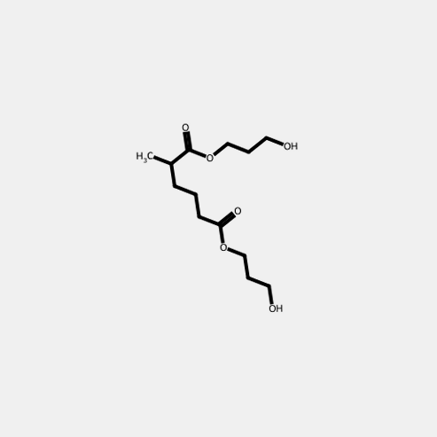 CC(CCCC(=O)OCCCO)C(=O)OCCCO